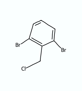 ClCc1c(Br)cccc1Br